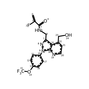 C=C(F)C(=O)NCc1nn(-c2ccc(OC(F)(F)F)cc2)c2nccc(CO)c12